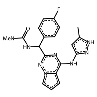 CNC(=O)NC(c1ccc(F)cc1)c1nc(Nc2cc(C)[nH]n2)c2cccn2n1